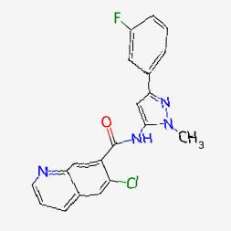 Cn1nc(-c2cccc(F)c2)cc1NC(=O)c1cc2ncccc2cc1Cl